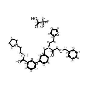 O=C(NCCN1CCCC1)c1cccc(-c2cccc(CN(CCc3cccs3)C(=O)COCc3ccccc3)c2)c1.O=C(O)C(F)(F)F